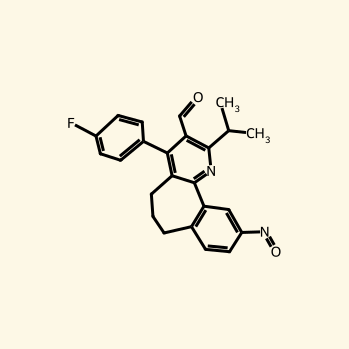 CC(C)c1nc2c(c(-c3ccc(F)cc3)c1C=O)CCCc1ccc(N=O)cc1-2